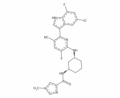 Cn1cnc(C(=O)N[C@@H]2CCC[C@H](Nc3nc(-c4c[nH]c5c(F)cc(Cl)cc45)c(C#N)cc3F)C2)c1